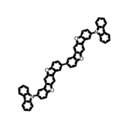 c1ccc2c(c1)c1ccccc1n2-c1ccc2oc3cc4c(cc3c2c1)oc1ccc(-c2ccc3oc5cc6c(cc5c3c2)oc2ccc(-n3c5ccccc5c5ccccc53)cc26)cc14